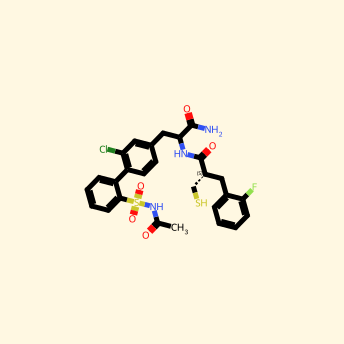 CC(=O)NS(=O)(=O)c1ccccc1-c1ccc(CC(NC(=O)[C@@H](CS)Cc2ccccc2F)C(N)=O)cc1Cl